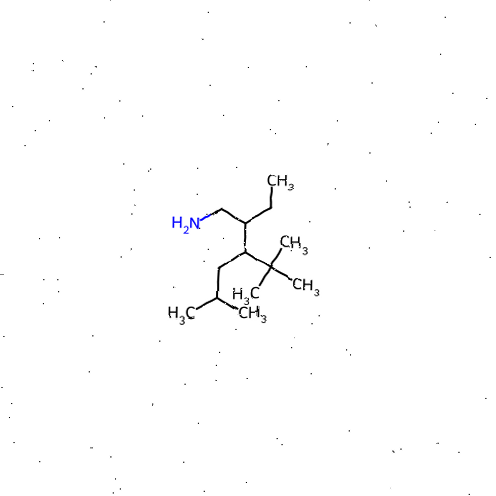 CCC(CN)C(CC(C)C)C(C)(C)C